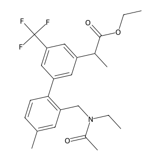 CCOC(=O)C(C)c1cc(-c2ccc(C)cc2CN(CC)C(C)=O)cc(C(F)(F)F)c1